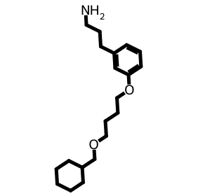 NCCCc1cccc(OCCCCOCC2CCCCC2)c1